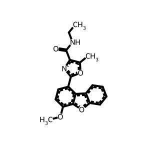 CCNC(=O)c1nc(-c2ccc(OC)c3oc4ccccc4c23)oc1C